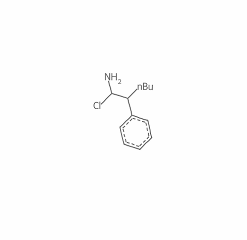 CCCCC(c1ccccc1)C(N)Cl